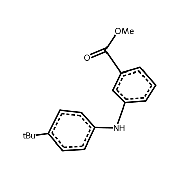 COC(=O)c1cccc(Nc2ccc(C(C)(C)C)cc2)c1